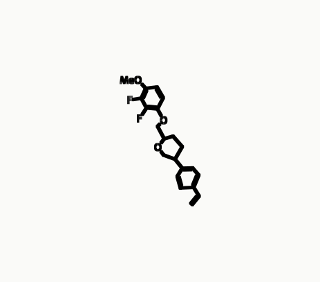 C=Cc1ccc(C2CCC(COc3ccc(OC)c(F)c3F)OC2)cc1